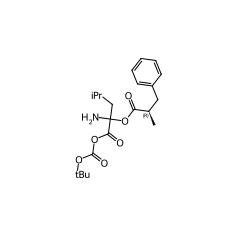 CC(C)CC(N)(OC(=O)[C@H](C)Cc1ccccc1)C(=O)OC(=O)OC(C)(C)C